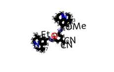 CCc1c(/C=C/C2=CC(=C(C#N)C#N)C=C(/C=C/c3cc4c5c(c3OC)C(C)(C)CCN5CCC4(C)C)O2)cc2c3c1C(C)(C)CCN3CCC2(C)C